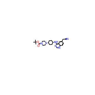 CC(C)(C)OC(=O)N1CCN([C@H]2CC[C@H](Nc3ncnc4ccc(CC#N)cc34)CC2)CC1